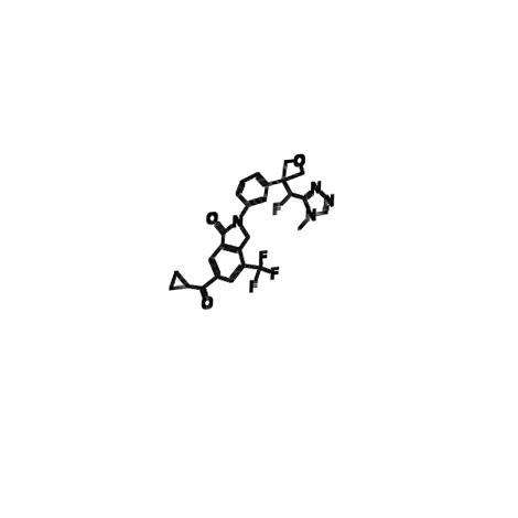 Cn1cnnc1C(F)C1(c2cccc(N3Cc4c(cc(C(=O)C5CC5)cc4C(F)(F)F)C3=O)c2)COC1